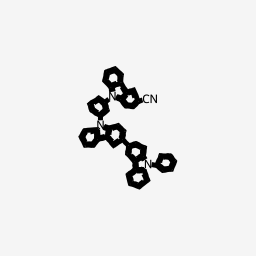 N#Cc1ccc2c(c1)c1ccccc1n2-c1cccc(-n2c3ccccc3c3cc(-c4ccc5c(c4)c4ccccc4n5-c4ccccc4)ccc32)c1